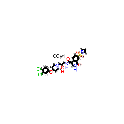 CC(=O)O.O=C(NC[C@@H](O)CN1CCC(Oc2ccc(Cl)c(Cl)c2)CC1)c1c[nH]c(=O)c2cc(S(=O)(=O)N3CCC3)ccc12